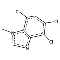 Cn1cnc2c(Cl)c(Cl)cc(Cl)c21